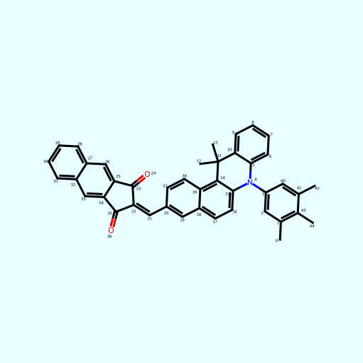 Cc1cc(N2c3ccccc3C(C)(C)c3c2ccc2cc(C=C4C(=O)c5cc6ccccc6cc5C4=O)ccc32)cc(C)c1C